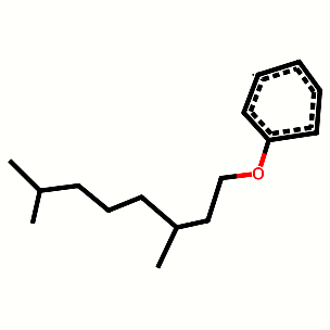 CC(C)CCCC(C)CCOc1c[c]ccc1